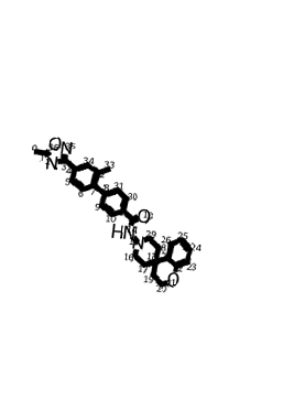 Cc1nc(-c2ccc(-c3ccc(C(=O)NN4CCC5(CCOc6ccccc65)CC4)cc3)c(C)c2)no1